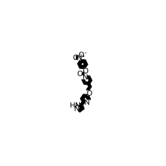 O=C(Oc1ccc([N+](=O)[O-])cc1)N1CCC(CCOc2ccc(-c3ccn[nH]3)nc2)CC1